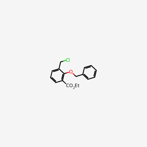 CCOC(=O)c1cccc(CCl)c1OCc1ccccc1